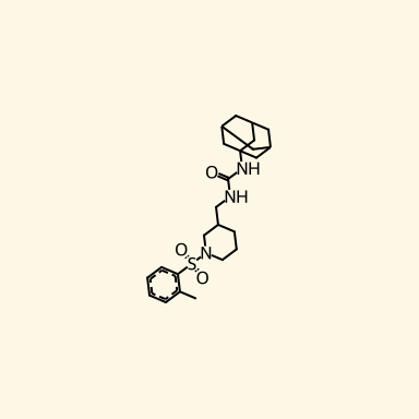 Cc1ccccc1S(=O)(=O)N1CCCC(CNC(=O)NC23CC4CC(CC(C4)C2)C3)C1